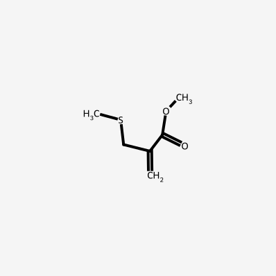 C=C(CSC)C(=O)OC